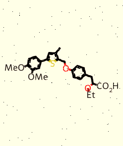 CCOC(Cc1ccc(OCc2sc(-c3ccc(OC)c(OC)c3)cc2C)cc1)C(=O)O